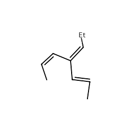 C\C=C/C(=C\CC)/C=C/C